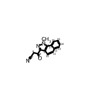 Cn1nc(C(=O)CC#N)c2ccc3ccccc3c21